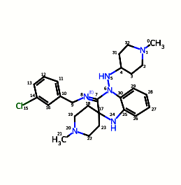 CN1CCC(NN2/C(=N/Cc3cccc(Cl)c3)C3(CCN(C)CC3)Nc3ccccc32)CC1